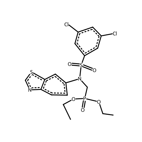 CCOP(=O)(CN(c1ccc2ncsc2c1)S(=O)(=O)c1cc(Cl)cc(Cl)c1)OCC